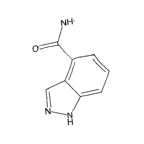 [NH]C(=O)c1cccc2[nH]ncc12